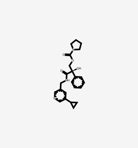 O=C(OC[C@@](O)(C(=O)NCc1cncc(C2CC2)c1)c1ccccc1)N1CCCC1